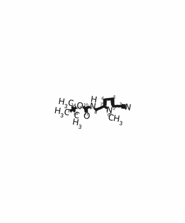 Cn1c(C#N)ccc1CNC(=O)OC(C)(C)C